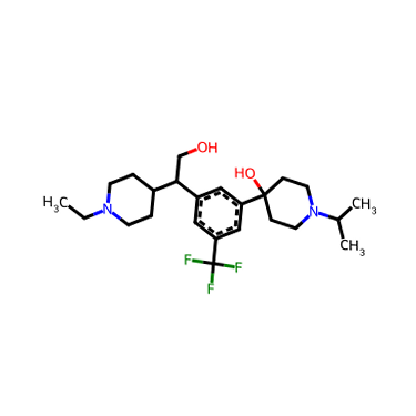 CCN1CCC(C(CO)c2cc(C(F)(F)F)cc(C3(O)CCN(C(C)C)CC3)c2)CC1